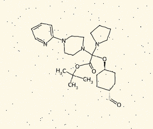 CC(C)(C)OC(=O)C(O[C@H]1CC[C@H]([C]=O)CC1)(N1CCCC1)N1CCN(c2ccccn2)CC1